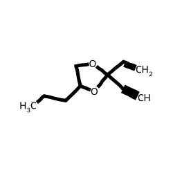 C#CC1(C=C)OCC(CCC)O1